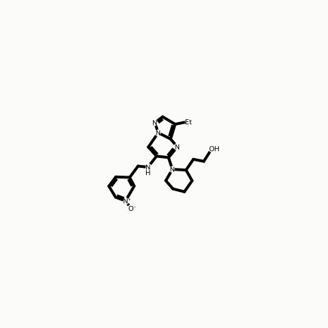 CCc1cnn2cc(NCc3ccc[n+]([O-])c3)c(N3CCCCC3CCO)nc12